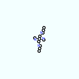 c1ccc(-c2c3ccc(-c4ccc5cc6ccccc6cc5n4)cc3c(-c3ccccn3)c3cc(-c4ccc5cc6ccccc6cc5n4)ccc23)nc1